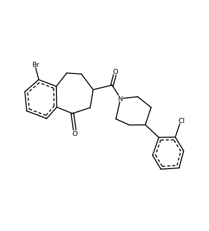 O=C1CC(C(=O)N2CCC(c3ccccc3Cl)CC2)CCc2c(Br)cccc21